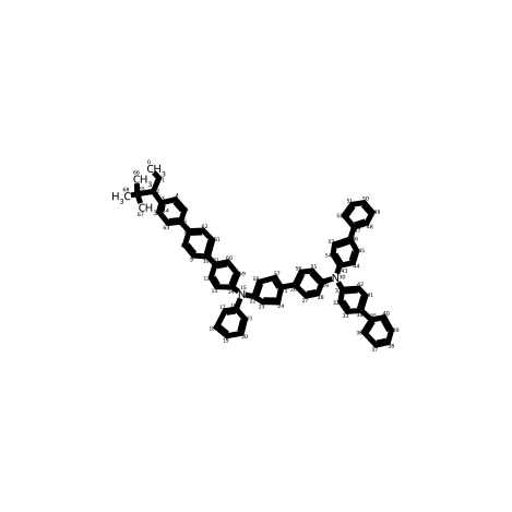 CCC(c1ccc(-c2ccc(-c3ccc(N(c4ccccc4)c4ccc(-c5ccc(N(c6ccc(-c7ccccc7)cc6)c6ccc(-c7ccccc7)cc6)cc5)cc4)cc3)cc2)cc1)C(C)(C)C